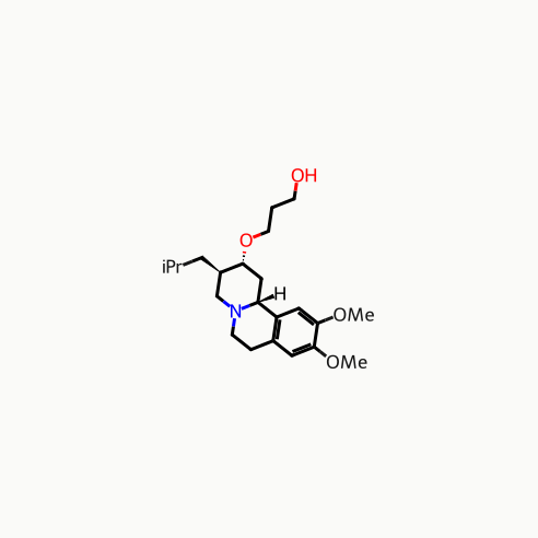 COc1cc2c(cc1OC)[C@H]1C[C@@H](OCCCO)[C@H](CC(C)C)CN1CC2